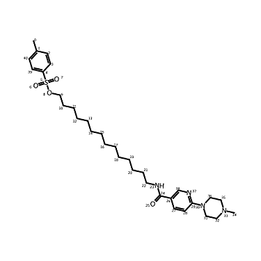 Cc1ccc(S(=O)(=O)OCCCCCCCCCCCCCCNC(=O)c2ccc(N3CCN(C)CC3)nc2)cc1